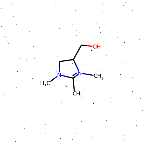 CC1=[N+](C)C(CO)CN1C